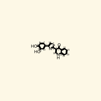 O=c1c(-c2nc(-c3ccc(O)c(O)c3)cs2)c[nH]c2ccccc12